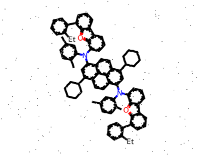 CCc1ccccc1-c1cccc2c1oc1c(N(c3cc(C)ccc3C)c3cc(C4CCCCC4)c4ccc5c(N(c6cc(C)ccc6C)c6cccc7c6oc6c(-c8ccccc8CC)cccc67)cc(C6CCCCC6)c6ccc3c4c65)cccc12